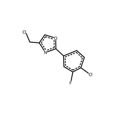 Fc1cc(-c2nc(CCl)co2)ccc1Cl